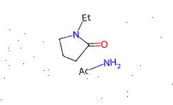 CC(N)=O.CCN1CCCC1=O